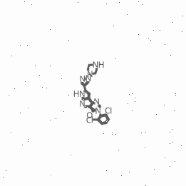 O=c1c2cnc3[nH]c(-c4cnn(N5CCNCC5)c4)cc3c2ncn1-c1c(Cl)cccc1Cl